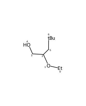 CCOC(CO)CC(C)(C)C